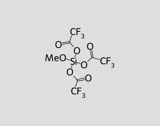 CO[Si](OC(=O)C(F)(F)F)(OC(=O)C(F)(F)F)OC(=O)C(F)(F)F